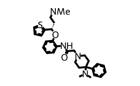 CNCC[C@H](Oc1ccccc1NC(=O)CN1CCC(c2ccccc2)(N(C)C)CC1)c1cccs1